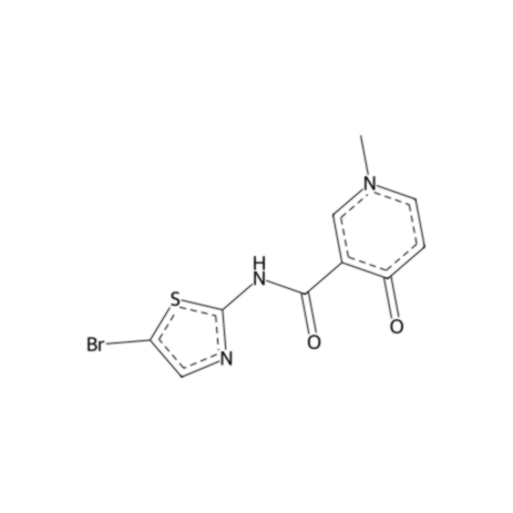 Cn1ccc(=O)c(C(=O)Nc2ncc(Br)s2)c1